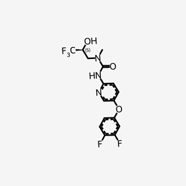 CN(C[C@H](O)C(F)(F)F)C(=O)Nc1ccc(Oc2ccc(F)c(F)c2)cn1